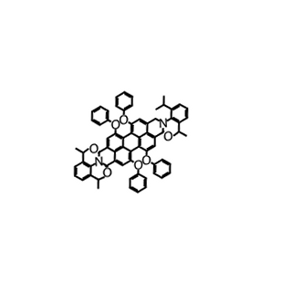 CC(C)c1cccc(C(C)C)c1N1Cc2cc(Oc3ccccc3)c3c4c(Oc5ccccc5)cc5c6c(cc(Oc7ccccc7)c(c7c(Oc8ccccc8)cc(c2c37)C1=O)c64)C(=O)N(c1c(C(C)C)cccc1C(C)C)C5=O